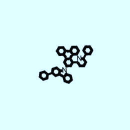 c1ccc(-c2ccc3c(c2)c2ccccc2n3-c2cc(-c3cccc(-c4ccccc4)n3)c3c4ccccc4c4ccccc4c3c2)cc1